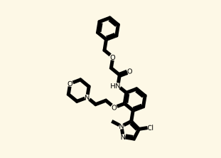 Cn1ncc(Cl)c1-c1cccc(NC(=O)COCc2ccccc2)c1OCCN1CCOCC1